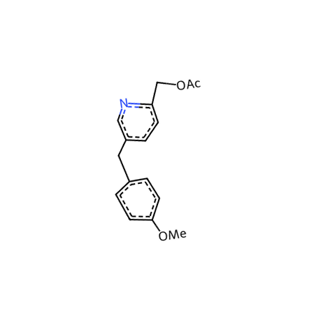 COc1ccc(Cc2ccc(COC(C)=O)nc2)cc1